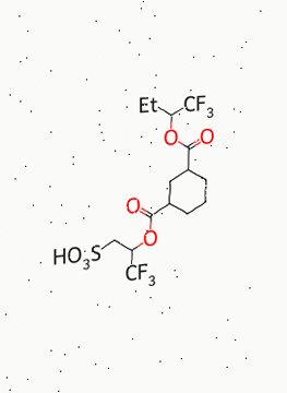 CCC(OC(=O)C1CCCC(C(=O)OC(CS(=O)(=O)O)C(F)(F)F)C1)C(F)(F)F